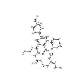 C=N/C=C(C=O)\C=N/CN(C)CCN(CCCC)c1nc(-c2ccc(OC)cc2)nc(N2CCOCC2)c1N=C